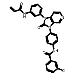 C=CC(=O)Nc1cccc(-n2c(=O)n(-c3ccc(NC(=O)c4cccc(Cl)c4)cc3)c3cnccc32)c1